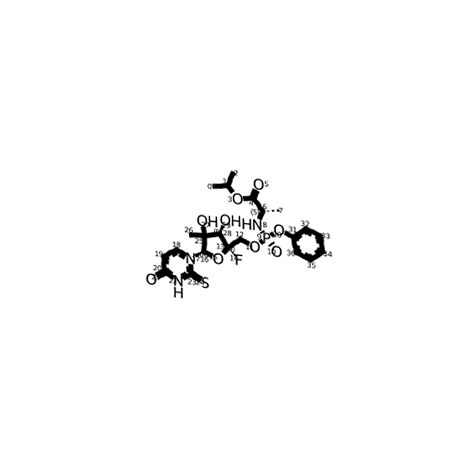 CC(C)OC(=O)[C@H](C)NP(=O)(OC[C@@]1(F)O[C@@H](n2ccc(=O)[nH]c2=S)C(C)(O)[C@H]1O)Oc1ccccc1